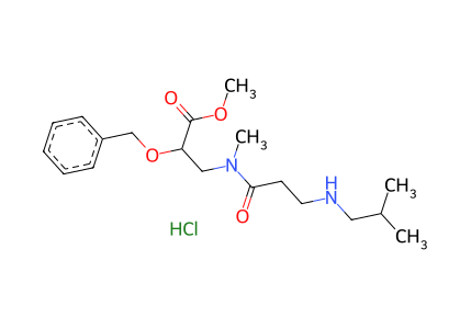 COC(=O)C(CN(C)C(=O)CCNCC(C)C)OCc1ccccc1.Cl